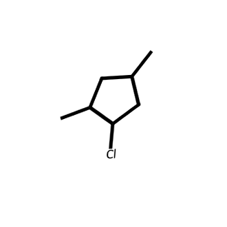 CC1CC(C)C(Cl)C1